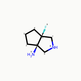 N[C@@]12CCC[C@]1(F)CNC2